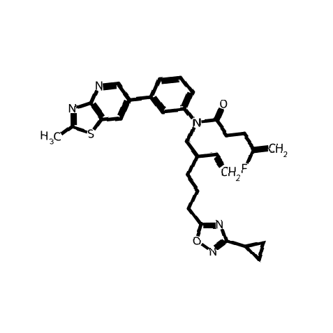 C=CC(CCCc1nc(C2CC2)no1)CN(C(=O)CCC(=C)F)c1cccc(-c2cnc3nc(C)sc3c2)c1